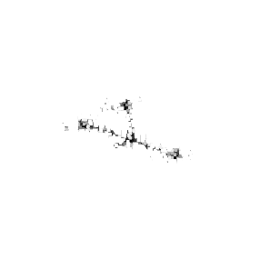 CC(=O)NC1[C@H](OCCOCCOCCOCC(=O)NCCCC[C@H](NC(=O)COCCOCCOCCO[C@@H]2O[C@H](COC(C)=O)[C@H](OC(C)=O)[C@H](OC(C)=O)C2NC(C)=O)C(=O)N[C@@H](CCCCNC(=O)COCCOCCOCCO[C@@H]2O[C@H](COC(C)=O)[C@H](OC(C)=O)[C@H](OC(C)=O)C2NC(C)=O)C(=O)OCc2ccccc2)O[C@H](COC(C)=O)[C@H](OC(C)=O)[C@@H]1OC(C)=O